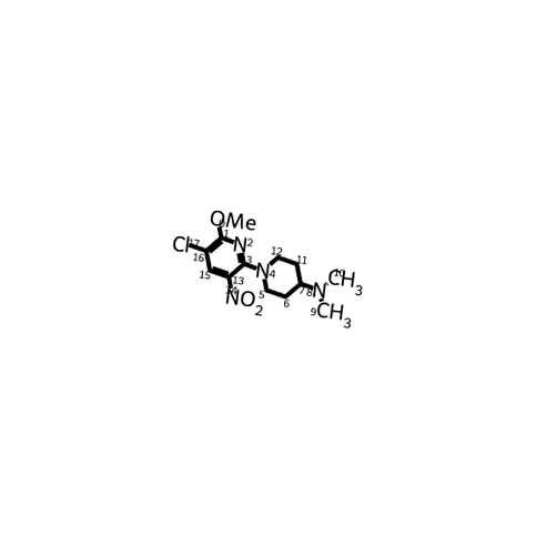 COc1nc(N2CCC(N(C)C)CC2)c([N+](=O)[O-])cc1Cl